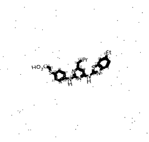 CCc1ccc2nc(Nc3cc(CC(C)C)nc(Nc4ccc(SCC(=O)O)cc4)n3)sc2c1